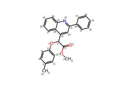 COC(=O)C(Oc1ccc(C)cc1)c1cc(-c2ccccc2)nc2ccccc12